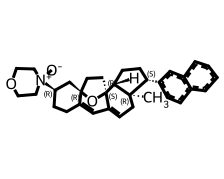 C[C@]12CC=C3C=C4CC[C@@H]([N+]5([O-])CCOCC5)C[C@]45CC[C@]3(O5)[C@@H]1CC[C@@H]2c1ccc2ccccc2c1